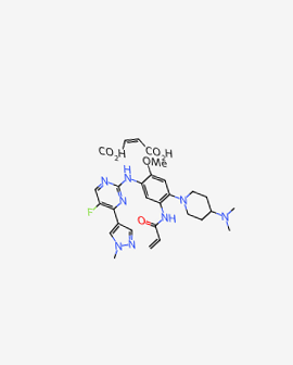 C=CC(=O)Nc1cc(Nc2ncc(F)c(-c3cnn(C)c3)n2)c(OC)cc1N1CCC(N(C)C)CC1.O=C(O)/C=C\C(=O)O